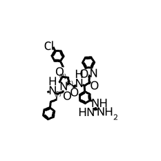 CN[C@H](CCc1ccccc1)C(=O)N1C[C@H](OCc2ccc(Cl)cc2)C[C@H]1C(=O)NC(C(=O)c1nc2ccccc2o1)c1cccc(NC(=N)N)c1